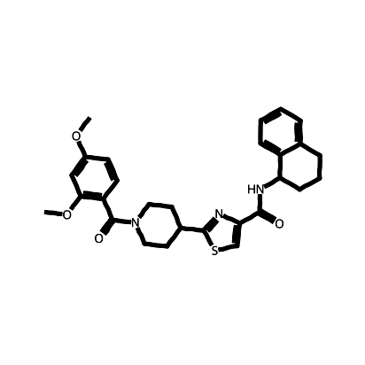 COc1ccc(C(=O)N2CCC(c3nc(C(=O)NC4CCCc5ccccc54)cs3)CC2)c(OC)c1